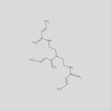 C=C(/C=C/C)NCCN(CCNC(=C)/C=C/C)C(=C)/C=C/C